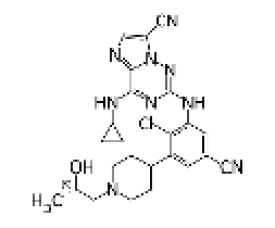 C[C@H](O)CN1CCC(c2cc(C#N)cc(Nc3nc(NC4CC4)c4ncc(C#N)n4n3)c2Cl)CC1